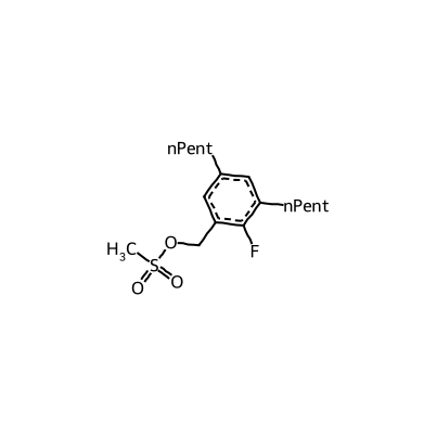 CCCCCc1cc(CCCCC)c(F)c(COS(C)(=O)=O)c1